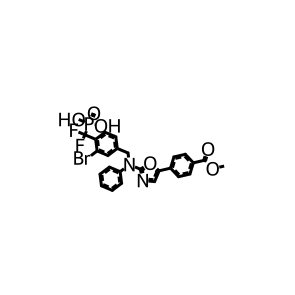 COC(=O)c1ccc(-c2cnc(N(Cc3ccc(C(F)(F)P(=O)(O)O)c(Br)c3)c3ccccc3)o2)cc1